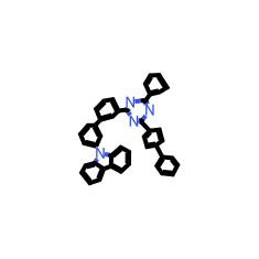 c1ccc(-c2ccc(-c3nc(-c4ccccc4)nc(-c4cccc(-c5cccc(-n6c7ccccc7c7ccccc76)c5)c4)n3)cc2)cc1